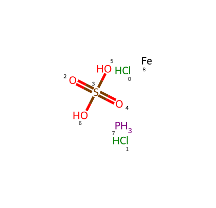 Cl.Cl.O=S(=O)(O)O.P.[Fe]